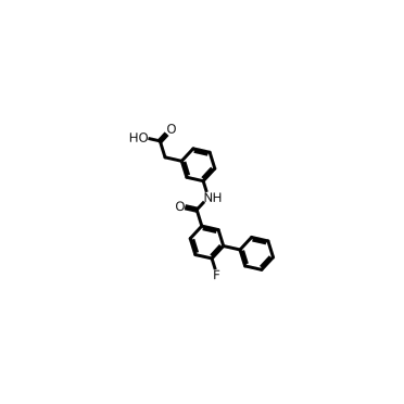 O=C(O)Cc1cccc(NC(=O)c2ccc(F)c(-c3ccccc3)c2)c1